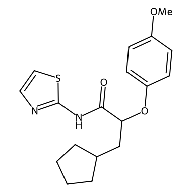 COc1ccc(OC(CC2CCCC2)C(=O)Nc2nccs2)cc1